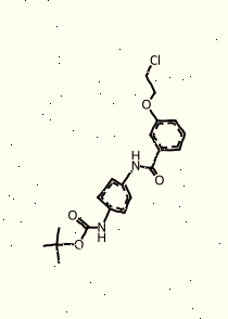 CC(C)(C)OC(=O)Nc1ccc(NC(=O)c2cccc(OCCCl)c2)cc1